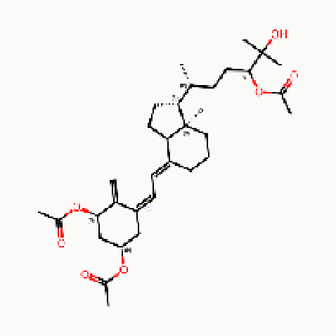 C=C1/C(=C\C=C2CCC[C@@]3(C)C2CC[C@@H]3[C@H](C)CC[C@H](OC(C)=O)C(C)(C)O)C[C@@H](OC(C)=O)C[C@H]1OC(C)=O